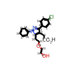 O=C(O)Cc1c(-c2ccc(Cl)cc2)nn(-c2ccccc2)c1CCOCCO